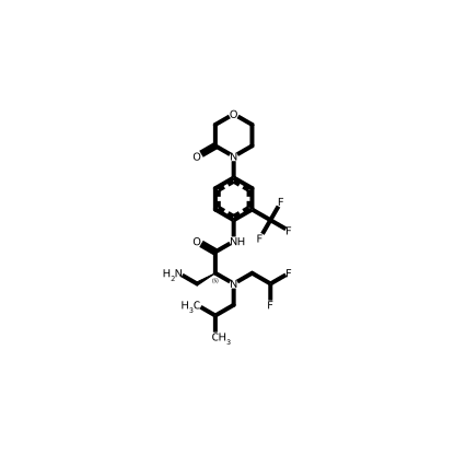 CC(C)CN(CC(F)F)[C@@H](CN)C(=O)Nc1ccc(N2CCOCC2=O)cc1C(F)(F)F